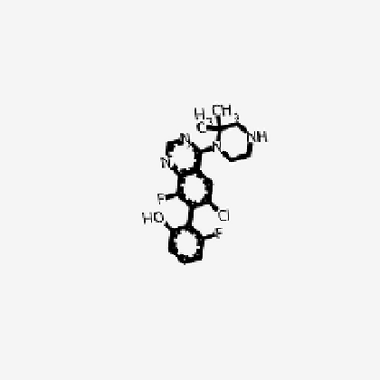 CC1(C)CNCCN1c1ncnc2c(F)c(-c3c(O)cccc3F)c(Cl)cc12